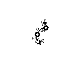 Cc1cnc(N[C@H]2CC[C@@H](C(=O)NCc3ccccc3OC(F)(F)F)CC2)nc1N(C)C